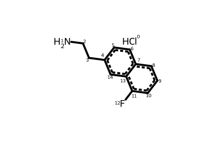 Cl.NCCc1ccc2cccc(F)c2c1